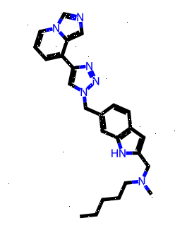 CCCCCN(C)Cc1cc2ccc(Cn3cc(-c4cccn5cncc45)nn3)cc2[nH]1